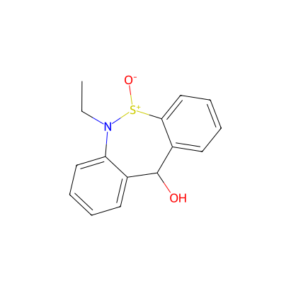 CCN1c2ccccc2C(O)c2ccccc2[S+]1[O-]